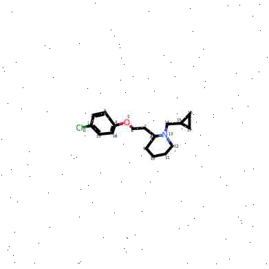 Clc1ccc(OCCC2CCCCN2CC2CC2)cc1